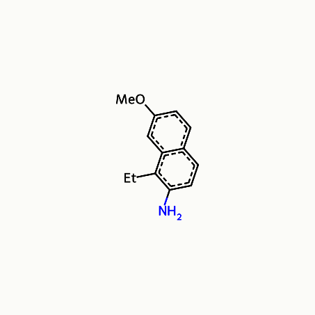 CCc1c(N)ccc2ccc(OC)cc12